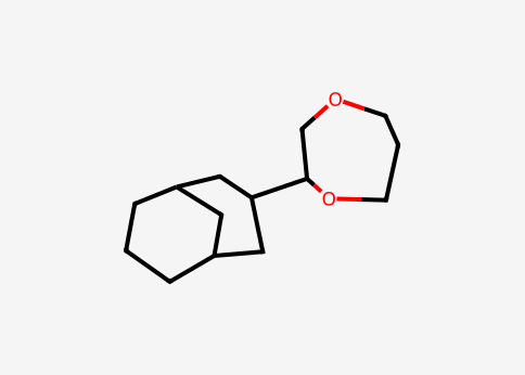 C1COCC(C2CC3CCCC(C3)C2)OC1